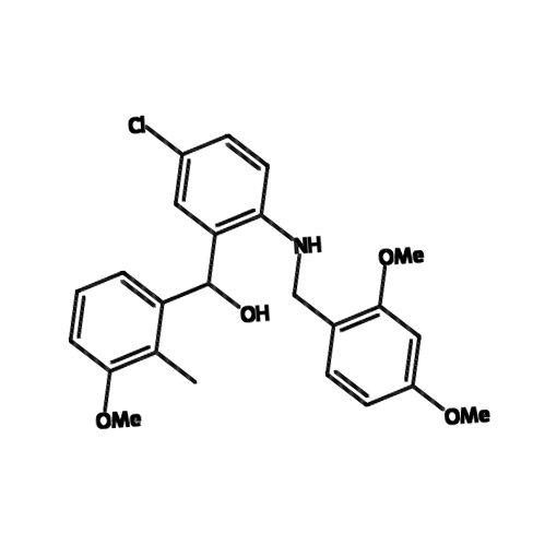 COc1ccc(CNc2ccc(Cl)cc2C(O)c2cccc(OC)c2C)c(OC)c1